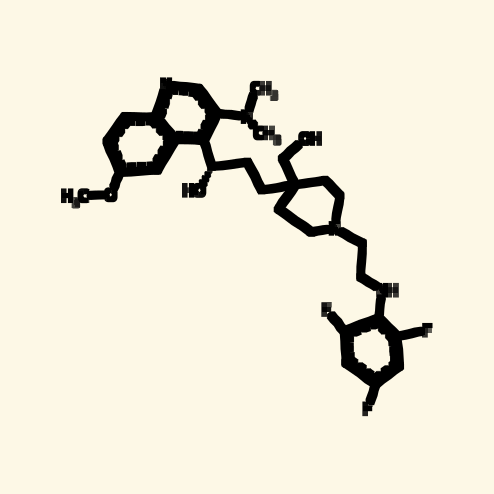 COc1ccc2ncc(N(C)C)c([C@@H](O)CCC3(CO)CCN(CCNc4c(F)cc(F)cc4F)CC3)c2c1